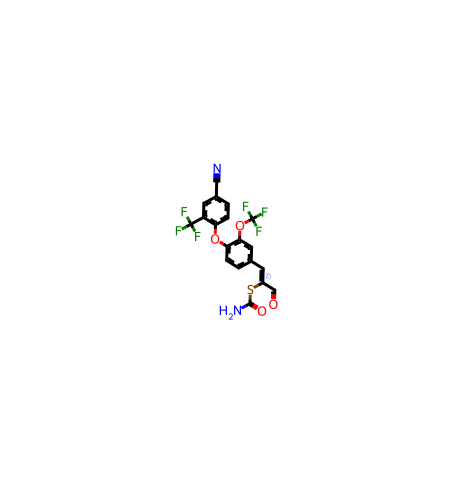 N#Cc1ccc(Oc2ccc(/C=C(/C=O)SC(N)=O)cc2OC(F)(F)F)c(C(F)(F)F)c1